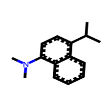 CC(C)c1ccc(N(C)C)c2ccccc12